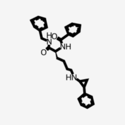 O=C(N[C@@H](CCCCNC1CC1c1ccccc1)C(=O)NCc1ccccc1)c1ccccc1